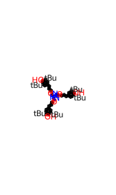 CC(C)(C)c1cc(CCCOc2nc(OCCCc3cc(C(C)(C)C)c(O)c(C(C)(C)C)c3)nc(OCCCc3cc(C(C)(C)C)c(O)c(C(C)(C)C)c3)n2)cc(C(C)(C)C)c1O